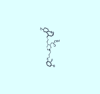 COc1ccc2nccc(CCC[C@@H]3CCN(CCCSc4cccc(F)c4F)C[C@@H]3CC(=O)O)c2c1